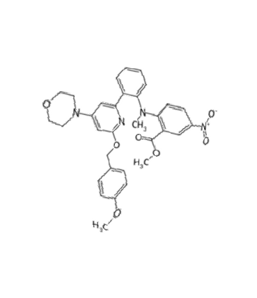 COC(=O)c1cc([N+](=O)[O-])ccc1N(C)c1ccccc1-c1cc(N2CCOCC2)cc(OCc2ccc(OC)cc2)n1